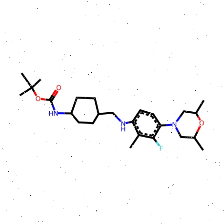 Cc1c(NCC2CCC(NC(=O)OC(C)(C)C)CC2)ccc(N2CC(C)OC(C)C2)c1F